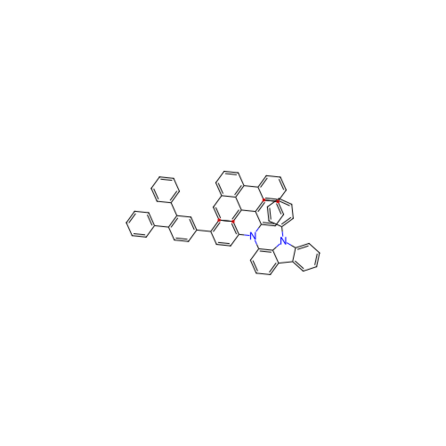 c1ccc(-c2ccc(-c3ccc(N(c4ccccc4-c4cccc5cccc(-c6ccccc6)c45)c4cccc5c6ccccc6n(-c6ccccc6)c45)cc3)cc2-c2ccccc2)cc1